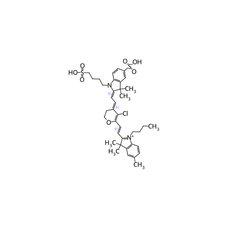 CCCC[N+]1=C(/C=C/C2=C(Cl)C(=C/C=C3/N(CCCCS(=O)(=O)O)c4ccc(S(=O)(=O)O)cc4C3(C)C)/CCO2)C(C)(C)c2cc(C)ccc21